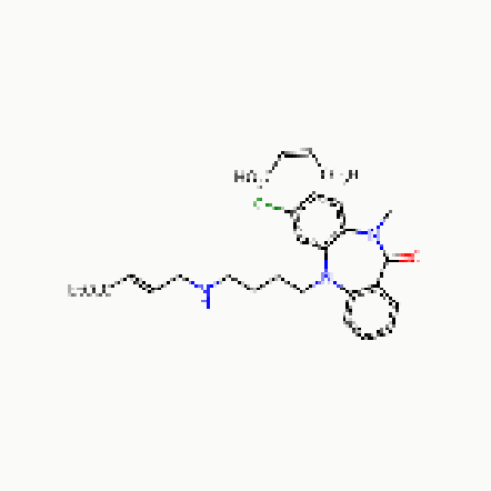 CCOC(=O)/C=C/CNCCCCN1c2ccccc2C(=O)N(C)c2ccc(Cl)cc21.O=C(O)/C=C\C(=O)O